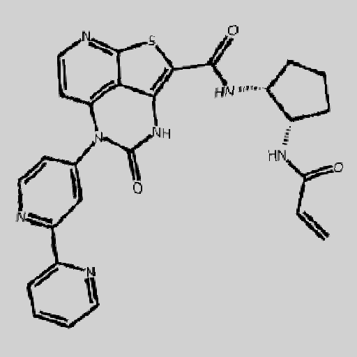 C=CC(=O)N[C@H]1CCC[C@H]1NC(=O)c1sc2nccc3c2c1NC(=O)N3c1ccnc(-c2ccccn2)c1